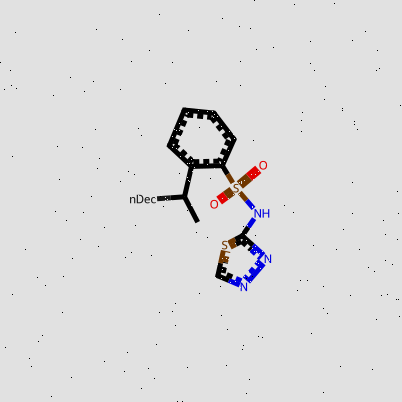 CCCCCCCCCCC(C)c1ccccc1S(=O)(=O)Nc1nncs1